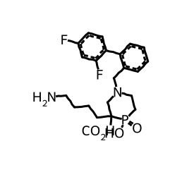 NCCCCC1(C(=O)O)CN(Cc2ccccc2-c2ccc(F)cc2F)CCP1(=O)O